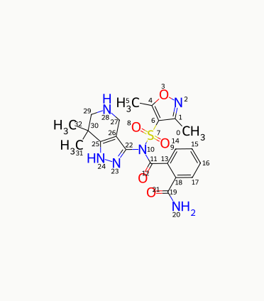 Cc1noc(C)c1S(=O)(=O)N(C(=O)c1ccccc1C(N)=O)c1n[nH]c2c1CNCC2(C)C